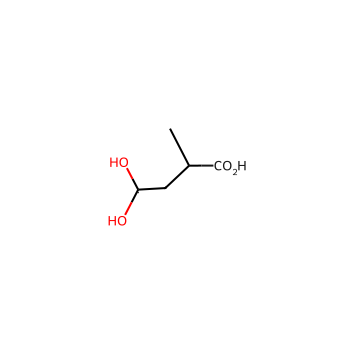 CC(C[C](O)O)C(=O)O